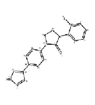 O=C1C(c2ccccc2F)CCN1c1ccc(-c2cn[nH]c2)cc1